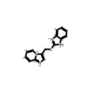 c1ccc2[nH]c(SCc3cnc4ccccn34)nc2c1